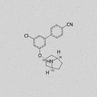 N#Cc1ccc(-c2cc(Cl)cc(O[C@@H]3C[C@H]4CC[C@@H](C3)N4)c2)cc1